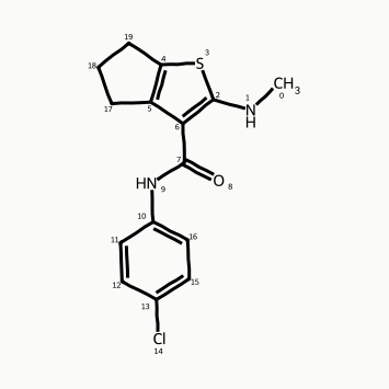 CNc1sc2c(c1C(=O)Nc1ccc(Cl)cc1)CCC2